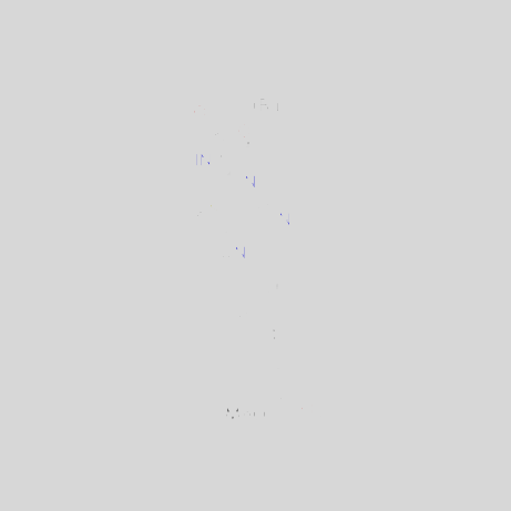 COC(=O)C1CC2(C1)CC(c1cnc3nc(NC(=O)OC(C)(C)C)sc3n1)C2